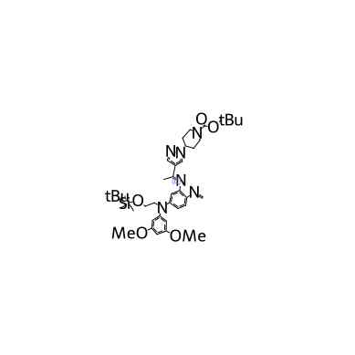 C=Nc1ccc(N(CCO[Si](C)(C)C(C)(C)C)c2cc(OC)cc(OC)c2)cc1/N=C(\C)c1cnn(C2CCN(C(=O)OC(C)(C)C)CC2)c1